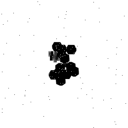 CC1(C)c2cc(N(c3ccc4c(c3)C(c3ccccc3)(c3ccccc3)c3ccccc3-4)c3ccc4ccccc4c3)ccc2-c2c(-c3ccccc3)cc3ccccc3c21